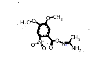 COc1cc(C(=O)O/N=C(\C)N)c([N+](=O)[O-])cc1OC